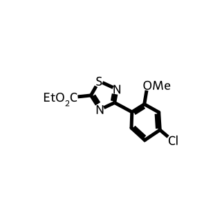 CCOC(=O)c1nc(-c2ccc(Cl)cc2OC)ns1